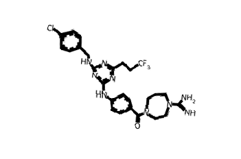 N=C(N)N1CCCN(C(=O)c2ccc(Nc3nc(CCC(F)(F)F)nc(NCc4ccc(Cl)cc4)n3)cc2)CC1